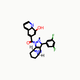 CN1C(c2cc(F)cc(F)c2)C2=C([C@@H]3CCC[C@H](C2)N3)N1C(=O)c1cc(O)c2ncccc2c1